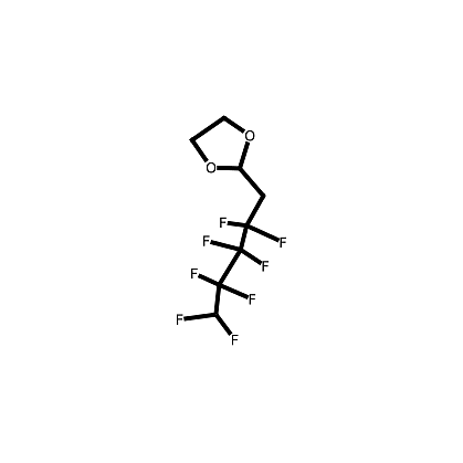 FC(F)C(F)(F)C(F)(F)C(F)(F)CC1OCCO1